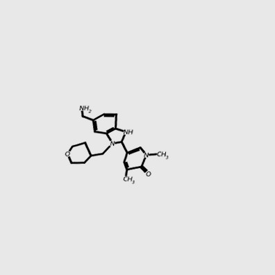 Cc1cc(C2Nc3ccc(CN)cc3N2CC2CCOCC2)cn(C)c1=O